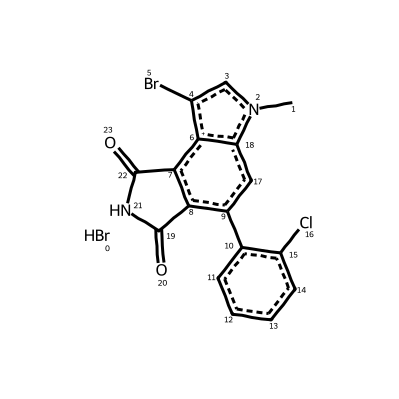 Br.Cn1cc(Br)c2c3c(c(-c4ccccc4Cl)cc21)C(=O)NC3=O